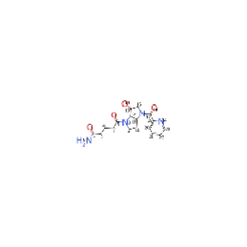 NC(=O)CC[CH]C(=O)N1CCC2C1C(=O)CN2C(=O)c1ccccn1